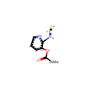 CNC(=O)Oc1cccnc1N=C=S